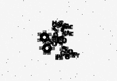 COCCO[C@@H]1[C@H](O[Si](c2ccccc2)(c2ccccc2)C(C)(C)C)[C@@H](/C=C/P(=O)(OC(C)C)OC(C)C)O[C@H]1N(/C=C(/C)C(C)=O)C(C)=O